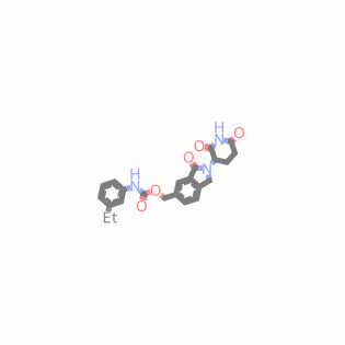 CCc1cccc(NC(=O)OCc2ccc3c(c2)C(=O)N(C2CCC(=O)NC2=O)C3)c1